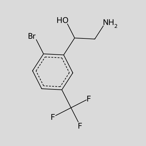 NCC(O)c1cc(C(F)(F)F)ccc1Br